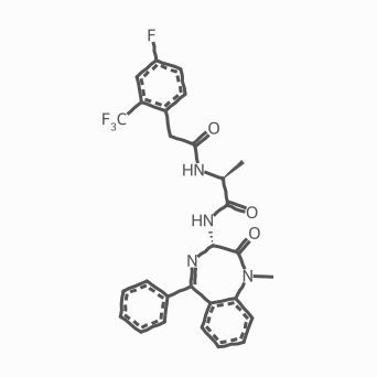 C[C@H](NC(=O)Cc1ccc(F)cc1C(F)(F)F)C(=O)N[C@H]1N=C(c2ccccc2)c2ccccc2N(C)C1=O